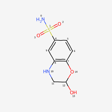 NS(=O)(=O)c1ccc2c(c1)NCC(O)O2